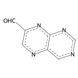 O=[C]c1cnc2cncnc2n1